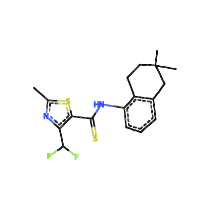 Cc1nc(C(F)F)c(C(=S)Nc2cccc3c2CCC(C)(C)C3)s1